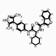 Cc1n[nH]c(C)c1-c1ccc(NC(=O)[C@@H](NC(=O)c2coc3ccccc23)C2CCCCC2)cc1